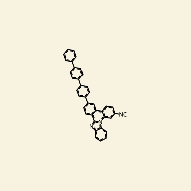 [C-]#[N+]c1ccc2c3cc(-c4ccc(-c5ccc(-c6ccccc6)cc5)cc4)ccc3c3nc4ccccc4n3c2c1